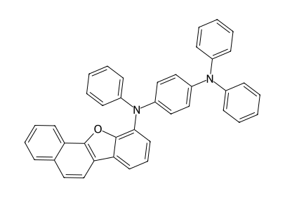 c1ccc(N(c2ccccc2)c2ccc(N(c3ccccc3)c3cccc4c3oc3c5ccccc5ccc43)cc2)cc1